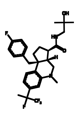 CN1C[C@H]2[C@H](C(=O)NCC(C)(C)O)CC[C@@]2(Cc2ccc(F)cc2)c2ccc(C(C)(F)C(F)(F)F)cc21